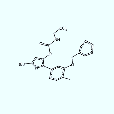 Cc1ccc(-n2nc(C(C)(C)C)cc2OC(=O)NCC(Cl)(Cl)Cl)cc1OCc1ccccc1